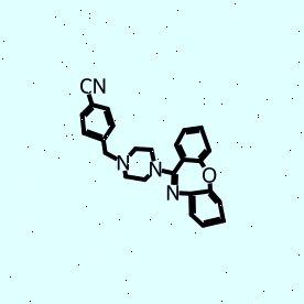 N#Cc1ccc(CN2CCN(C3=Nc4ccccc4Oc4ccccc43)CC2)cc1